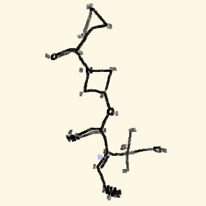 CN/C=C(/C(=N)OC1CN(C(=O)C2CC2)C1)C(C)(C)Cl